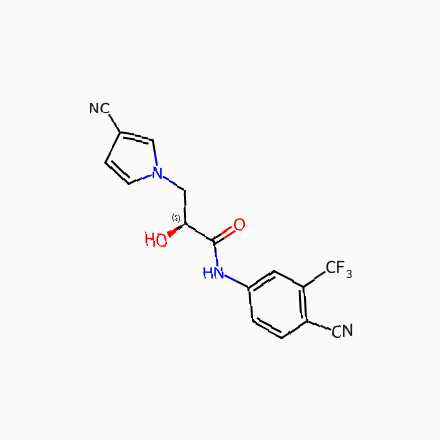 N#Cc1ccn(C[C@H](O)C(=O)Nc2ccc(C#N)c(C(F)(F)F)c2)c1